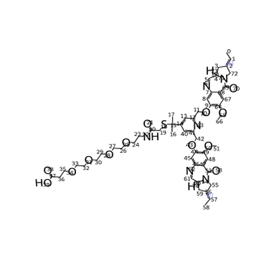 C/C=C1\C[C@H]2C=Nc3cc(OCc4cc(C(C)(C)SCC(=O)NCCOCCOCCOCCOCCC(=O)O)cc(COc5cc6c(cc5OC)C(=O)N5C/C(=C/C)C[C@H]5C=N6)n4)c(OC)cc3C(=O)N2C1